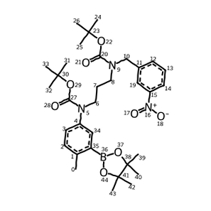 Cc1ccc(N(CCCN(Cc2cccc([N+](=O)[O-])c2)C(=O)OC(C)(C)C)C(=O)OC(C)(C)C)cc1B1OC(C)(C)C(C)(C)O1